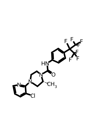 C[C@@H]1CN(c2ncccc2Cl)CCN1C(=O)Nc1ccc(C(F)(C(F)(F)F)C(F)(F)F)cc1